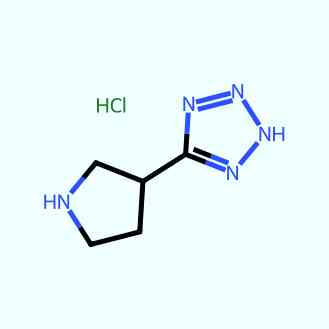 C1CC(c2nn[nH]n2)CN1.Cl